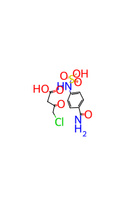 NC(=O)c1ccc(NS(=O)(=O)O)cc1.O=C(O)CC(=O)CCl